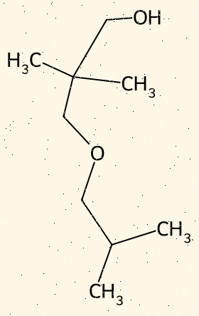 CC(C)COCC(C)(C)CO